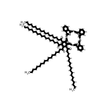 CCCCCCCCCCCCCCCCCC(=O)c1c(C(=O)CCCCCCCCCCCCCCCCC)c(C(=O)CCCCCCCCCCCCCCCCC)c2c3nc4nc(nc5[nH]c(nc6nc(nc([nH]3)c2c1C(=O)CCCCCCCCCCCCCCCCC)-c1ccccc1-6)c1ccccc51)-c1ccccc1-4